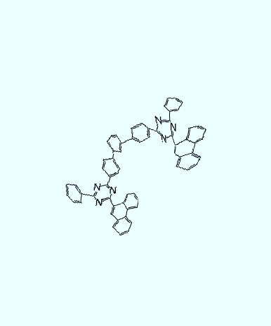 c1ccc(-c2nc(-c3ccc(-c4cccc(-c5ccc(-c6nc(-c7ccccc7)nc(-c7cc8ccccc8c8ccccc78)n6)cc5)c4)cc3)nc(-c3cc4ccccc4c4ccccc34)n2)cc1